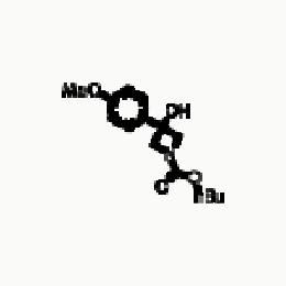 CCCCOC(=O)N1CC(O)(c2ccc(OC)cc2)C1